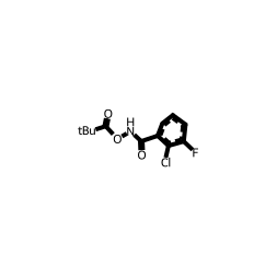 CC(C)(C)C(=O)ONC(=O)c1cccc(F)c1Cl